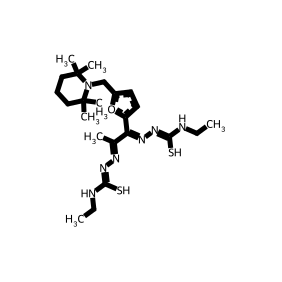 CCN/C(S)=N/N=C(/C(C)=N/N=C(\S)NCC)c1ccc(CN2C(C)(C)CCCC2(C)C)o1